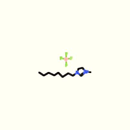 CCCCCCCCN1C=[N+](C)CC1.F[B-](F)(F)F